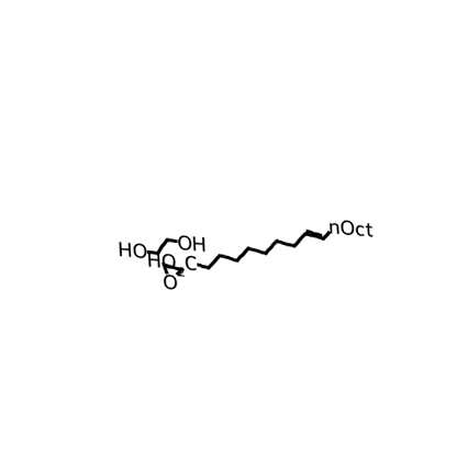 C1CO1.CCCCCCCCC=CCCCCCCCC(=O)O.OCCO